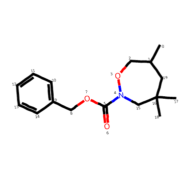 CC1CON(C(=O)OCc2ccccc2)CC(C)(C)C1